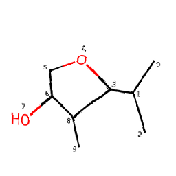 CC(C)C1OCC(O)C1C